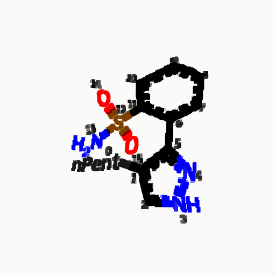 CCCCCc1c[nH]nc1-c1ccccc1S(N)(=O)=O